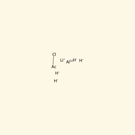 CC(=O)Cl.[Al+3].[H-].[H-].[H-].[H-].[Li+]